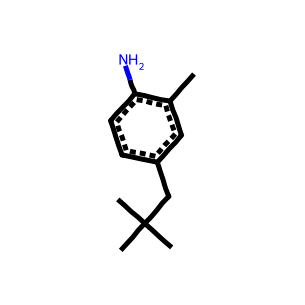 Cc1cc(CC(C)(C)C)ccc1N